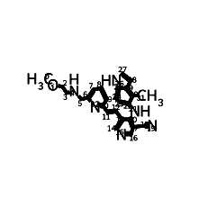 COCCNCc1cccc(C=Cc2cncc(C#N)c2Nc2ccc3[nH]ccc3c2C)n1